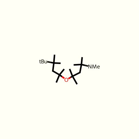 CNC(C)(C)CC(C)(C)OC(C)(C)CC(C)(C)C(C)(C)C